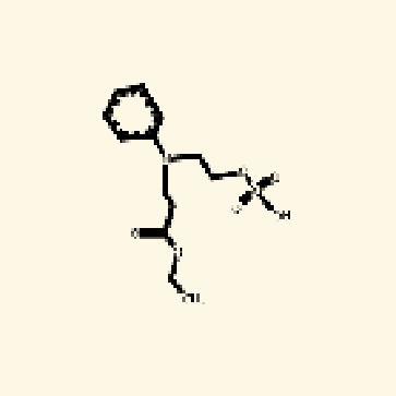 CCOC(=O)CCN(CCOS(=O)(=O)O)c1ccccc1